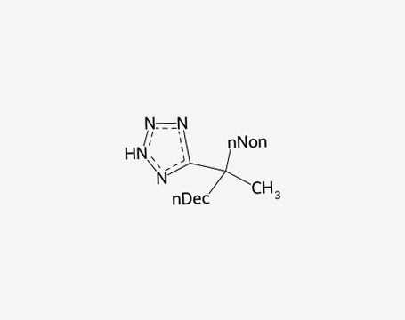 CCCCCCCCCCC(C)(CCCCCCCCC)c1nn[nH]n1